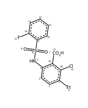 CCc1ccc(NS(=O)(=O)c2ccccc2F)c(C(=O)O)c1Cl